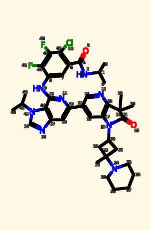 CC(C)NC(=O)c1cc(Nc2nc(-c3cnc4c(c3)N(C3CC(C)(N5CCCCC5)C3)C(=O)C4(C)C)cc3ncn(C(C)C)c23)c(F)c(F)c1Cl